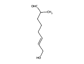 CC(C=O)CCC/C=C/CO